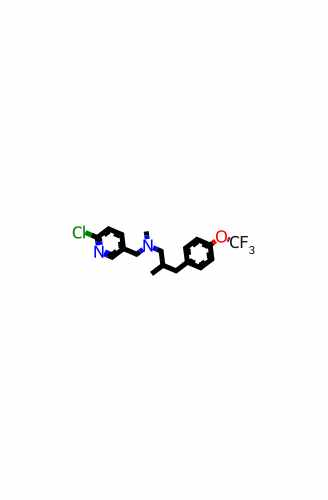 CC(Cc1ccc(OC(F)(F)F)cc1)CN(C)Cc1ccc(Cl)nc1